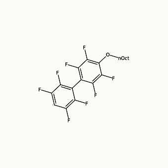 CCCCCCCCOc1c(F)c(F)c(-c2c(F)c(F)[c]c(F)c2F)c(F)c1F